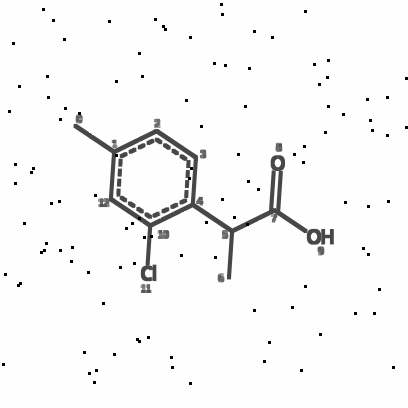 Cc1ccc(C(C)C(=O)O)c(Cl)c1